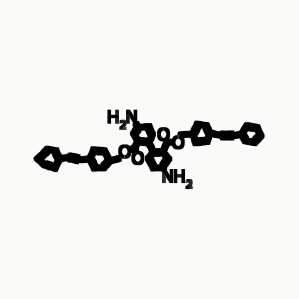 Nc1ccc(-c2ccc(N)cc2C(=O)OCc2ccc(C#Cc3ccccc3)cc2)c(C(=O)OCc2ccc(C#Cc3ccccc3)cc2)c1